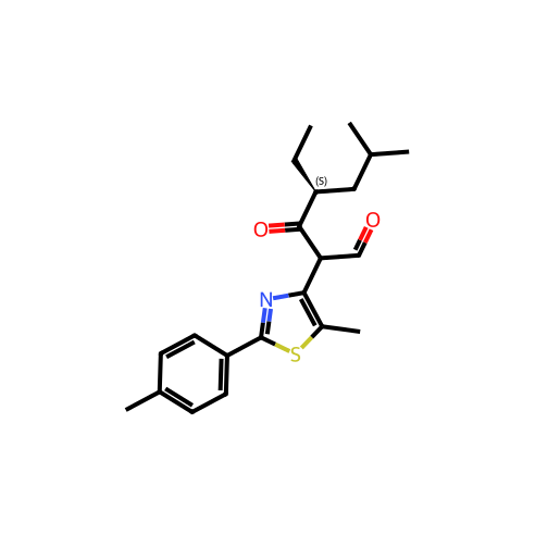 CC[C@@H](CC(C)C)C(=O)C(C=O)c1nc(-c2ccc(C)cc2)sc1C